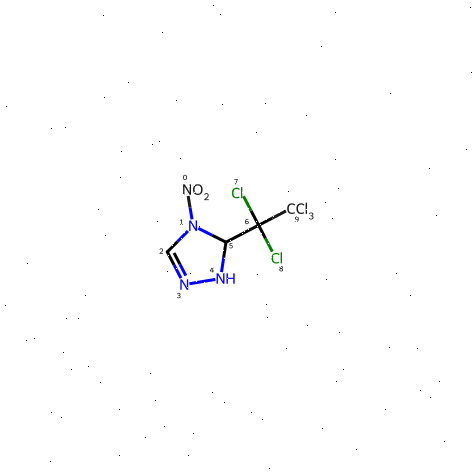 O=[N+]([O-])N1C=NNC1C(Cl)(Cl)C(Cl)(Cl)Cl